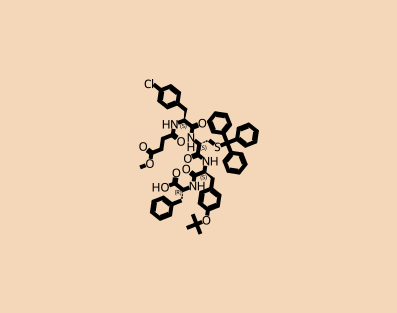 COC(=O)CCC(=O)N[C@@H](Cc1ccc(Cl)cc1)C(=O)N[C@H](CSC(c1ccccc1)(c1ccccc1)c1ccccc1)C(=O)N[C@@H](Cc1ccc(OC(C)(C)C)cc1)C(=O)N[C@H](Cc1ccccc1)C(=O)O